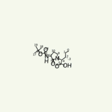 CC[C@H](C)[C@@H](C(=O)O)N1CC[C@@H](NC(=O)OC(C)(C)C)C1=O